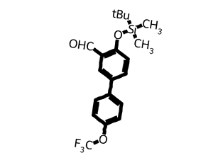 CC(C)(C)[Si](C)(C)Oc1ccc(-c2ccc(OC(F)(F)F)cc2)cc1C=O